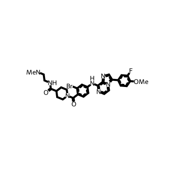 CNCCNC(=O)C1CCN(C(=O)c2ccc(Nc3nccn4c(-c5ccc(OC)c(F)c5)cnc34)cc2Br)CC1